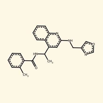 Cc1ccccc1C(=O)NC(C)c1cc(NCc2cocn2)nc2ccccc12